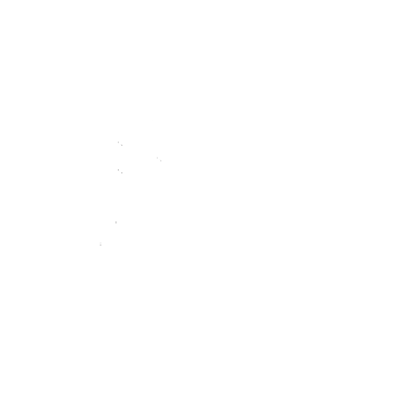 CC(C)(C)[Si](C)(C)OC(CCCCCCc1ccccc1)c1nnc(-c2ccco2)[nH]1